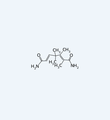 C/C(C(N)=O)=C(/C)C(C)(C)/C=C/C(N)=O